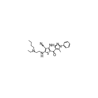 CCCCN(CC)CCNc1sc(C(=O)c2cnn(-c3ccccc3)c2C)c(N)c1C#N